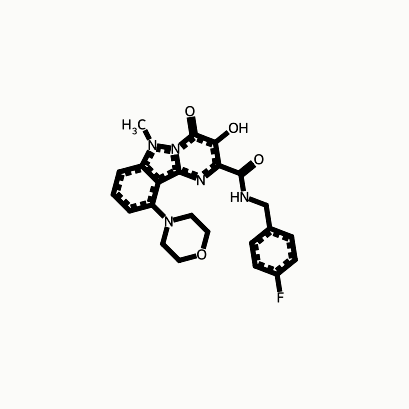 Cn1c2cccc(N3CCOCC3)c2c2nc(C(=O)NCc3ccc(F)cc3)c(O)c(=O)n21